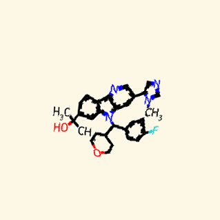 Cn1cncc1-c1cnc2c3ccc(C(C)(C)O)cc3n(C(c3ccc(F)cc3)C3CCOCC3)c2c1